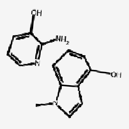 Cn1ccc2c(O)cccc21.Nc1ncccc1O